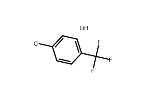 FC(F)(F)c1ccc(Cl)cc1.[LiH]